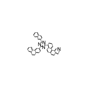 c1ccc2cc(-c3nc(-c4ccc5ccc6ccccc6c5c4)nc(-c4cccc5c4ccc4ccc6ccncc6c45)n3)ccc2c1